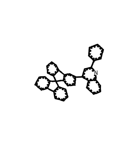 c1ccc(-c2cc(-c3ccc4c(c3)-c3ccccc3C43c4ccccc4-c4ccccc43)c3ccccc3n2)cc1